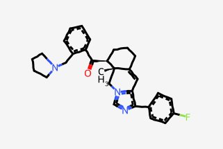 C[C@]12Cn3cnc(-c4ccc(F)cc4)c3C=C1CCC[C@@H]2C(=O)c1ccccc1CN1CCCC1